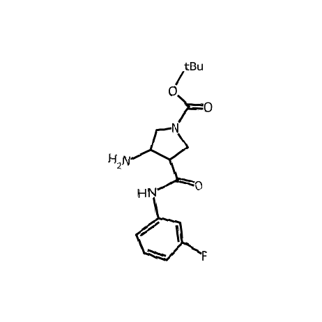 CC(C)(C)OC(=O)N1CC(N)C(C(=O)Nc2cccc(F)c2)C1